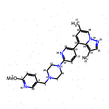 COc1ccc(CN2CCN(c3ccc(-c4cc(C)cn5ncc(C#N)c45)cn3)CC2)cn1